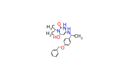 CC(C)N1C(=O)NC(N[C@@H](C)c2ccc(OCc3ccccc3)cc2)=CC1O